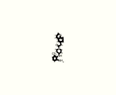 Nc1cccc(C(F)(F)F)c1NC1CCN(C(=O)Cc2ccc3ncccc3c2)CC1